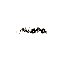 CN(C)CCCNCc1ccc(-c2csc(-c3ccc(Cl)cc3)n2)cc1